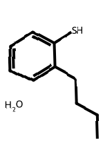 CCCCc1ccccc1S.O